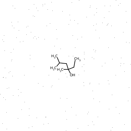 CCC(C)(O)CC(C)C